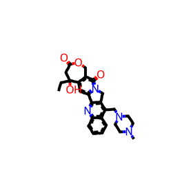 CCC1(O)CC(=O)OCc2c1cc1n(c2=O)Cc2c-1nc1ccccc1c2CN1CCN(C)CC1